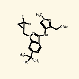 COCc1nn(C)cc1Nc1nn(CC2CC2(F)F)c2cc(C(C)(C)O)ccc12